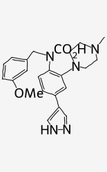 COc1cccc(CN(C(=O)O)c2ccc(-c3cn[nH]c3)cc2N2CCN(C)CC2)c1